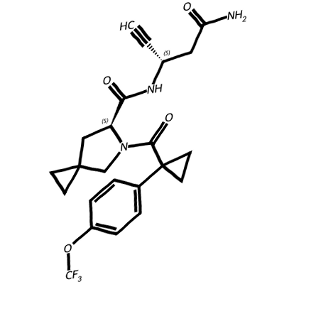 C#C[C@H](CC(N)=O)NC(=O)[C@@H]1CC2(CC2)CN1C(=O)C1(c2ccc(OC(F)(F)F)cc2)CC1